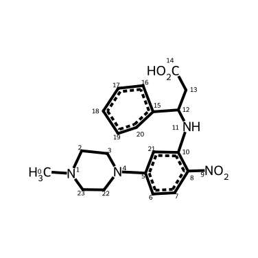 CN1CCN(c2ccc([N+](=O)[O-])c(NC(CC(=O)O)c3ccccc3)c2)CC1